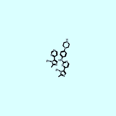 Cc1ncc(-c2ccnc(Nc3ccc(N4CCNCC4)cc3)n2)n1C(C)C.Cc1ncc(-c2ccncn2)n1C(C)C